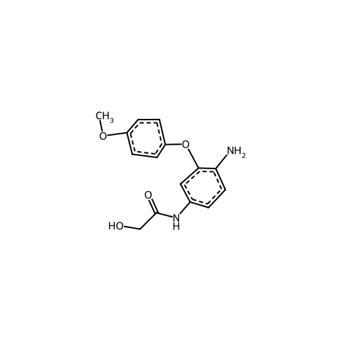 COc1ccc(Oc2cc(NC(=O)CO)ccc2N)cc1